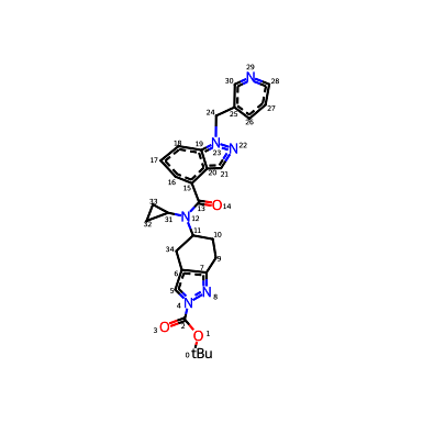 CC(C)(C)OC(=O)n1cc2c(n1)CCC(N(C(=O)c1cccc3c1cnn3Cc1cccnc1)C1CC1)C2